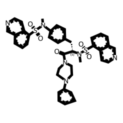 CN(c1ccc(C[C@@H](C(=O)N2CCN(c3ccccc3)CC2)N(C)S(=O)(=O)c2cccc3cnccc23)cc1)S(=O)(=O)c1cccc2cnccc12